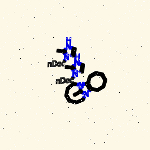 CC1N2CCCCCCN1C1=C2CCCCCC1.CCCCCCCCCC[n+]1cc[nH]c1C.CCCCCCCCCC[n+]1cc[nH]c1C